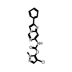 Cn1ncc(Cl)c1OC(=O)Nc1cc2nc(-c3ccccc3)cn2cn1